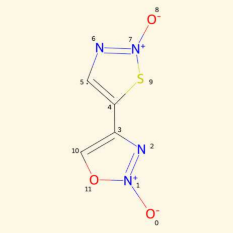 [O-][n+]1nc(-c2[c]n[n+]([O-])s2)co1